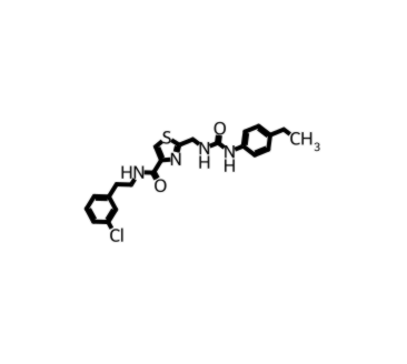 CCc1ccc(NC(=O)NCc2nc(C(=O)NCCc3cccc(Cl)c3)cs2)cc1